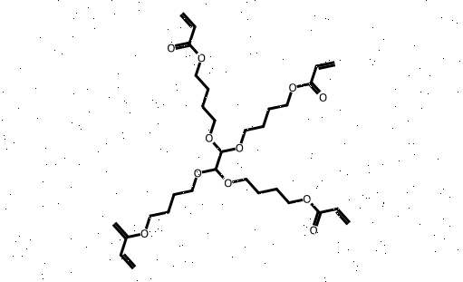 C=CC(=C)OCCCCOC(OCCCCOC(=O)C=C)C(OCCCCOC(=O)C=C)OCCCCOC(=O)C=C